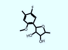 COc1cc(C)c(F)cc1C1OC(C)C(O)C1O